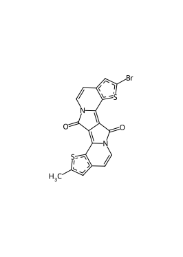 Cc1cc2c(s1)C1=C3C(=O)N4C=Cc5cc(Br)sc5C4=C3C(=O)N1C=C2